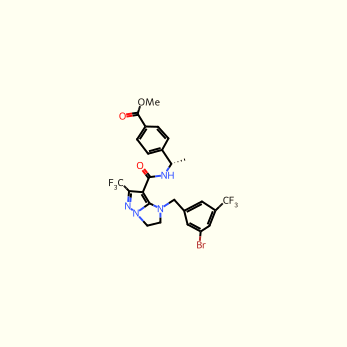 COC(=O)c1ccc([C@H](C)NC(=O)c2c(C(F)(F)F)nn3c2N(Cc2cc(Br)cc(C(F)(F)F)c2)CC3)cc1